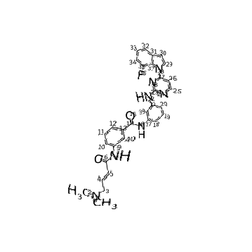 CN(C)CC=CC(=O)Nc1cccc(C(=O)Nc2cccc(Nc3nccc(-n4ccc5cccc(F)c54)n3)c2)c1